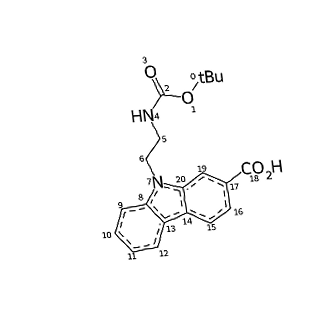 CC(C)(C)OC(=O)NCCn1c2ccccc2c2ccc(C(=O)O)cc21